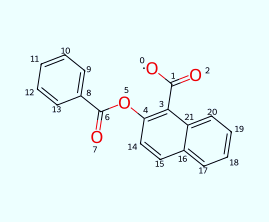 [O]C(=O)c1c(OC(=O)c2ccccc2)ccc2ccccc12